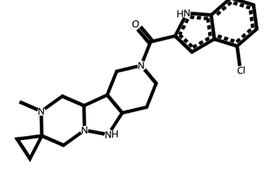 CN1CC2C3CN(C(=O)c4cc5c(Cl)cccc5[nH]4)CCC3NN2CC12CC2